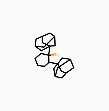 PC1(C23CC4CC(CC(C4)C2)C3)CCCCC1C12CC3CC(CC(C3)C1)C2